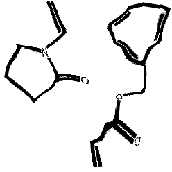 C=CC(=O)OCc1ccccc1.C=CN1CCCC1=O